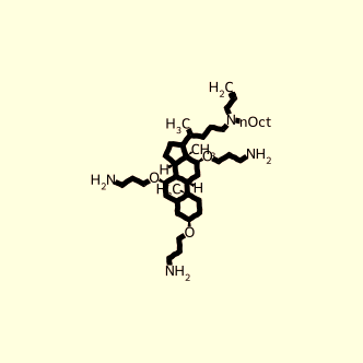 C=CCN(CCCCCCCC)CCCC(C)C1CC[C@H]2C3[C@H](OCCCN)CC4C[C@H](OCCCN)CC[C@]4(C)[C@H]3C[C@H](OCCCN)[C@]12C